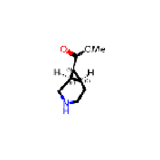 COC(=O)[C@@H]1[C@@H]2CNCC[C@@H]21